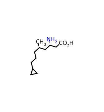 C[C@H](CCCC1CC1)C[C@H](N)CC(=O)O